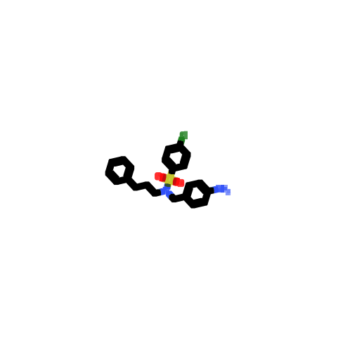 Nc1ccc(CN(CCCc2ccccc2)S(=O)(=O)c2ccc(Cl)cc2)cc1